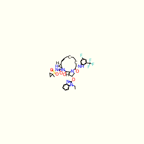 CCn1c(O[C@@H]2C[C@H]3C(=O)N[C@]4(C(=O)NS(=O)(=O)C5(C)CC5)C[C@H]4/C=C\CCCCC[C@H](Nc4cc(F)cc(C(F)(F)F)c4)C(=O)N3C2)nc2ccccc21